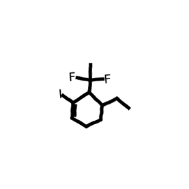 CCC1CCC=C(I)C1C(C)(F)F